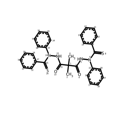 CC(C)(C(=O)NN(C(=S)c1ccccc1)c1ccccc1)C(=O)NN(C(=S)c1ccccc1)c1ccccc1